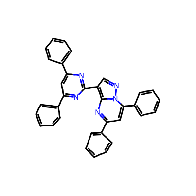 c1ccc(-c2cc(-c3ccccc3)nc(-c3cnn4c(-c5ccccc5)cc(-c5ccccc5)nc34)n2)cc1